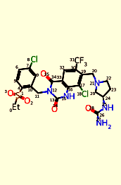 CCS(=O)(=O)c1ccc(Cl)cc1Cn1c(=O)[nH]c2c(Cl)c(CN3CC[C@@H](NC(N)=O)C3)c(C(F)(F)F)cc2c1=O